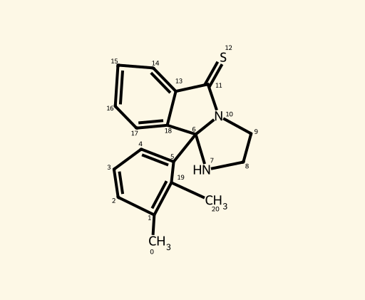 Cc1cccc(C23NCCN2C(=S)c2ccccc23)c1C